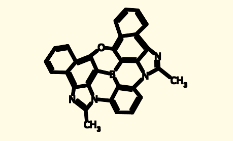 Cc1nc2c3ccccc3c3c4c2n1-c1cccc2c1B4c1c(c4ccccc4c4nc(C)n-2c14)O3